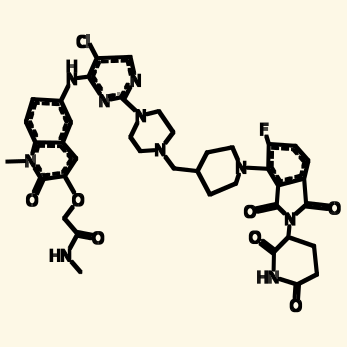 CNC(=O)COc1cc2cc(Nc3nc(N4CCN(CC5CCN(c6c(F)ccc7c6C(=O)N(C6CCC(=O)NC6=O)C7=O)CC5)CC4)ncc3Cl)ccc2n(C)c1=O